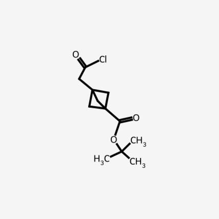 CC(C)(C)OC(=O)C12CC(CC(=O)Cl)(C1)C2